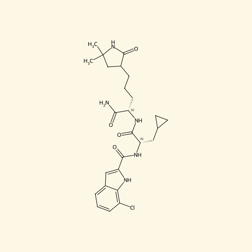 CC1(C)CC(CCC[C@H](NC(=O)[C@H](CC2CC2)NC(=O)c2cc3cccc(Cl)c3[nH]2)C(N)=O)C(=O)N1